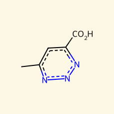 Cc1cc(C(=O)O)nnn1